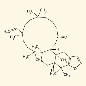 C=C[C@@]1(C)CCC(C)(C)CCCC(=O)C[C@@H]2[C@@]3(C)Cc4cnoc4C(C)(C)[C@@H]3CC[C@@]2(C)C(C)(C)CC1